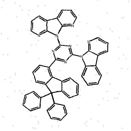 c1ccc(C2(c3ccccc3)c3ccccc3-c3c(-c4nc(-n5c6ccccc6c6cccnc65)nc(-n5c6ncccc6c6cccnc65)n4)cccc32)cc1